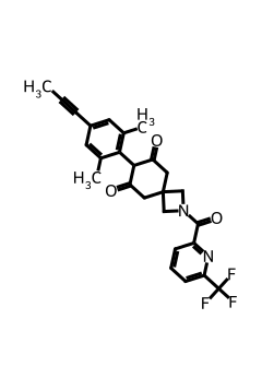 CC#Cc1cc(C)c(C2C(=O)CC3(CC2=O)CN(C(=O)c2cccc(C(F)(F)F)n2)C3)c(C)c1